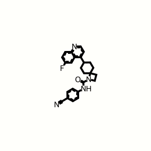 N#Cc1ccc(NC(=O)N2CCC23CCC(c2ccnc4ccc(F)cc24)CC3)cc1